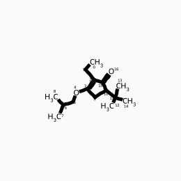 CCC1=C(OCC(C)C)CC(C(C)(C)C)C1=O